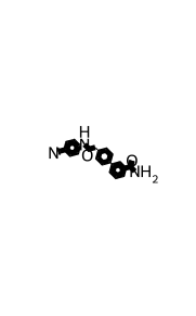 N#Cc1ccc(NC(=O)C[C@H]2CC[C@@H](c3cccc(C(N)=O)c3)CC2)cc1